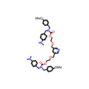 COc1ccc(CN(Cc2ccc(N(C)C)cc2)C(=O)OCCOCc2cncc(COCCOC(=O)N(Cc3ccc(OC)cc3)Cc3ccc(N(C)C)cc3)c2)cc1